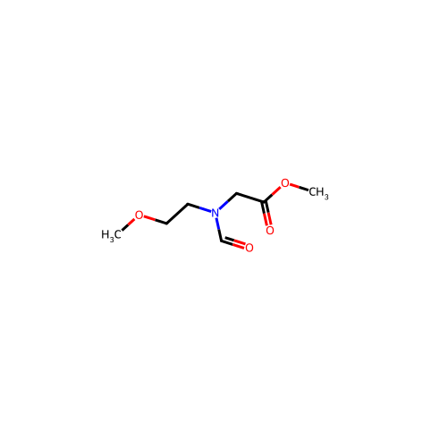 COCCN(C=O)CC(=O)OC